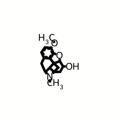 COc1ccc2c3c1OC1C(O)CC45CC31C4C(C2)N5C